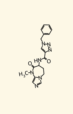 CN1C(=O)C(NC(=O)c2cn(Cc3ccccc3)nn2)CCn2cncc21